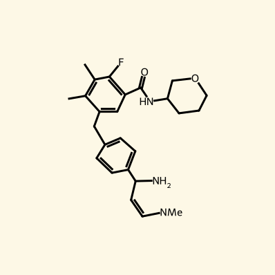 CN/C=C\C(N)c1ccc(Cc2cc(C(=O)NC3CCCOC3)c(F)c(C)c2C)cc1